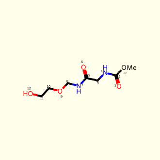 COC(=O)NCC(=O)NCOCCO